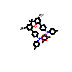 Cc1ccc(N(c2ccc(C)cc2)c2ccc(-c3cc(C(C)(C)C)cc4c3Oc3c(-c5ccc(N(c6ccc(C)cc6)c6ccc(C)cc6)cc5)cc(C(C)(C)C)cc3C4(C)C)cc2)cc1